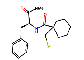 CNC(=O)[C@H](Cc1ccccc1)NC(=O)C1(CS)CCCCC1